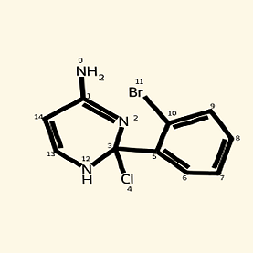 NC1=NC(Cl)(c2ccccc2Br)NC=C1